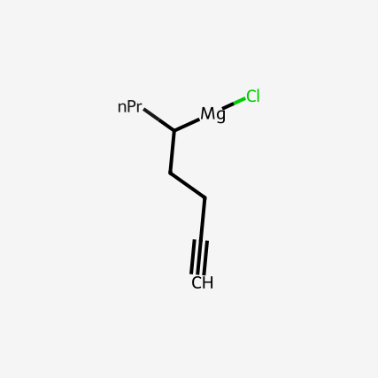 C#CCC[CH](CCC)[Mg][Cl]